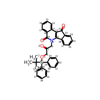 CC(C)(C)[Si](OCC(=O)Cn1c2c(c3ccccc3c1=O)C(=O)c1ccccc1-2)(c1ccccc1)c1ccccc1